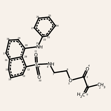 C=C(C)C(=O)OCCNS(=O)(=O)c1cccc2cccc(Nc3ccccc3)c12